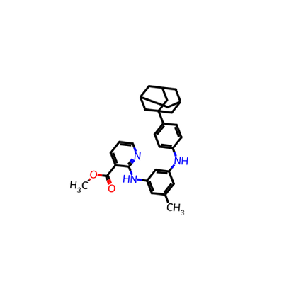 COC(=O)c1cccnc1Nc1cc(C)cc(Nc2ccc(C34CC5CC(CC(C5)C3)C4)cc2)c1